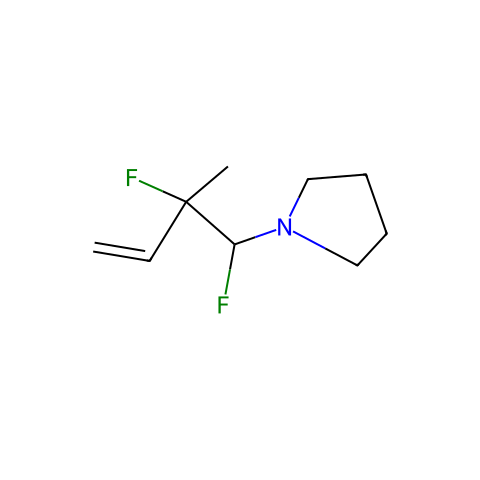 C=CC(C)(F)C(F)N1CCCC1